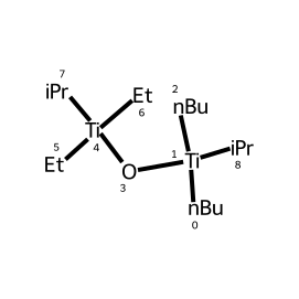 CCC[CH2][Ti]([CH2]CCC)([O][Ti]([CH2]C)([CH2]C)[CH](C)C)[CH](C)C